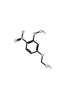 CCOc1ccc([N+](=O)[O-])c(SC)c1